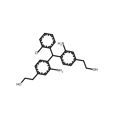 Nc1cc(CCO)ccc1C(c1ccc(CCO)cc1N)c1ccccc1Cl